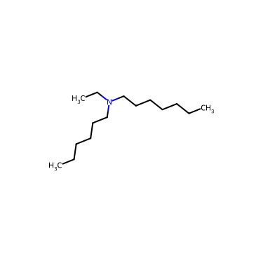 CCCCCCCN(CC)CCCCCC